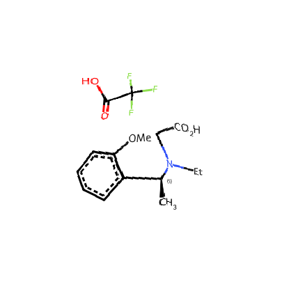 CCN(CC(=O)O)[C@@H](C)c1ccccc1OC.O=C(O)C(F)(F)F